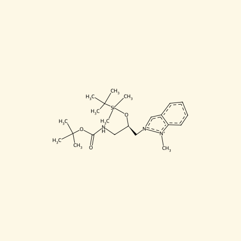 C[n+]1c2ccccc2cn1C[C@@H](CNC(=O)OC(C)(C)C)O[Si](C)(C)C(C)(C)C